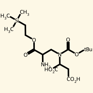 CC(C)(C)OC(=O)N(CC(N)C(=O)OCC[Si](C)(C)C)C(CC(=O)O)C(=O)O